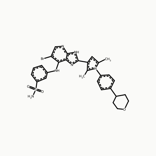 Cc1cc(-c2nc3c(Nc4cccc(S(N)(=O)=O)c4)c(Br)cnc3[nH]2)c(C)n1-c1ccc(C2CCOCC2)cc1